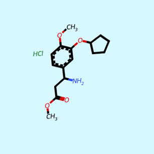 COC(=O)CC(N)c1ccc(OC)c(OC2CCCC2)c1.Cl